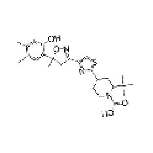 Cc1cc(O)c(C2(C)CC(c3csc(C4CCN(C(=O)O)C(C(C)(C)C)C4)n3)=NO2)cc1C